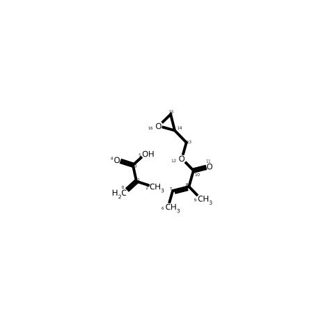 C=C(C)C(=O)O.CC=C(C)C(=O)OCC1CO1